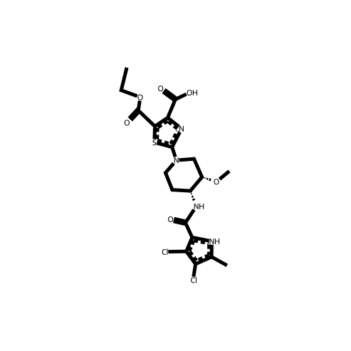 CCOC(=O)c1sc(N2CC[C@@H](NC(=O)c3[nH]c(C)c(Cl)c3Cl)[C@@H](OC)C2)nc1C(=O)O